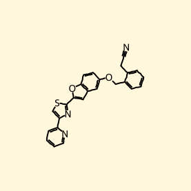 N#CCc1ccccc1COc1ccc2oc(-c3nc(-c4ccccn4)cs3)cc2c1